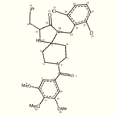 COc1cc(C(=O)N2CCC3(CC2)NC(CC(C)C)C(=O)N3Cc2c(Cl)cccc2Cl)cc(OC)c1OC